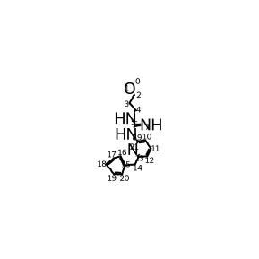 COCCCNC(=N)Nc1cccc(Cc2ccccc2)n1